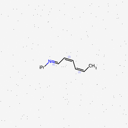 C\C=C/C=C\C=N\C(C)C